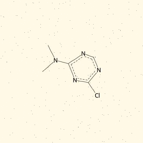 CN(C)c1n[c]nc(Cl)n1